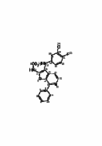 O=C(O)Nc1oc2c(-c3ccccc3)nccc2c1Nc1ccc(F)c(Cl)c1